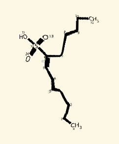 CCCCC/C=C(\CCCCC)S(=O)(=O)O